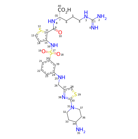 N=C(N)NCCC[C@H](NC(=O)c1sccc1NS(=O)(=O)c1cccc(NCc2csc(N3CCC(N)CC3)n2)c1)C(=O)O